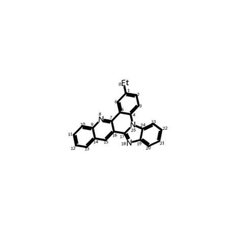 CCc1ccc2c(c1)c1nc3ccccc3cc1c1nc3ccccc3n21